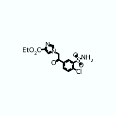 CCOC(=O)c1cn(CC(=O)c2ccc(Cl)c(S(N)(=O)=O)c2)cn1